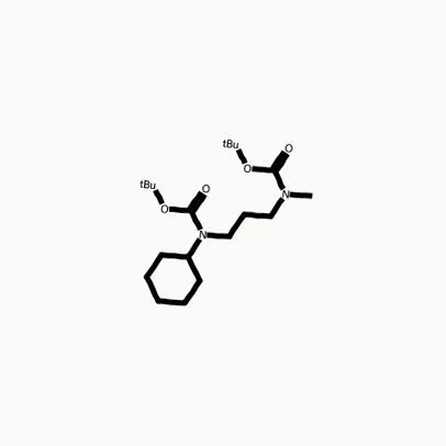 CN(CCCN(C(=O)OC(C)(C)C)C1CCCCC1)C(=O)OC(C)(C)C